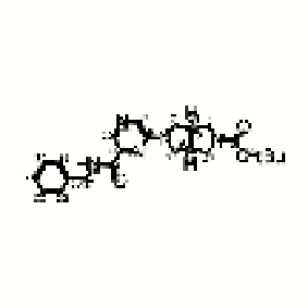 CC(C)(C)OC(=O)N1C[C@@H]2CN(c3cncc(C(=O)NCc4ccccc4)n3)C[C@@H]2C1